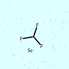 FC(F)F.[Sc]